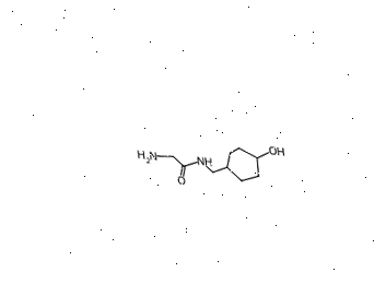 NCC(=O)NCC1CCC(O)CC1